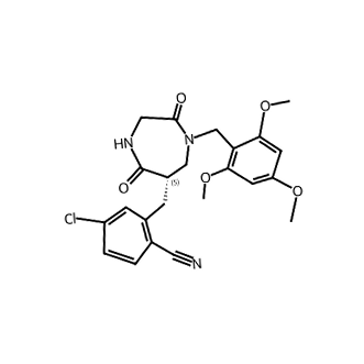 COc1cc(OC)c(CN2C[C@H](Cc3cc(Cl)ccc3C#N)C(=O)NCC2=O)c(OC)c1